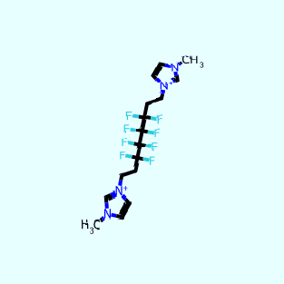 Cn1cc[n+](CCC(F)(F)C(F)(F)C(F)(F)C(F)(F)CC[n+]2ccn(C)c2)c1